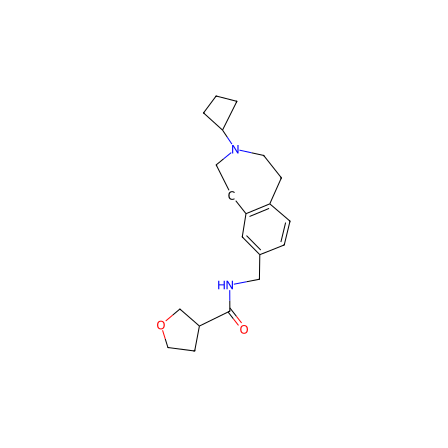 O=C(NCc1ccc2c(c1)CCN(C1CCC1)CC2)C1CCOC1